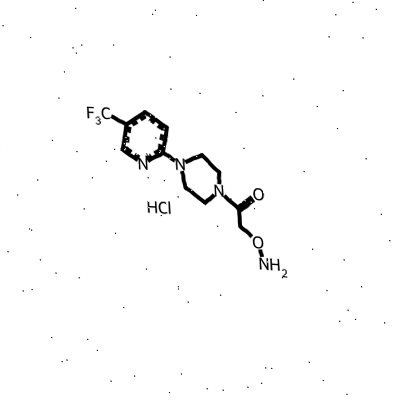 Cl.NOCC(=O)N1CCN(c2ccc(C(F)(F)F)cn2)CC1